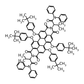 CC(C)C(C(=O)N(c1ccccc1)c1ccccc1)N1C(=O)c2cc(Oc3ccc(C(C)(C)C)cc3)c3c4c(Oc5ccc(C(C)(C)C)cc5)cc5c6c(cc(Oc7ccc(C(C)(C)C)cc7)c(c7c(Oc8ccc(C(C)(C)C)cc8)cc(c2c37)C1=O)c64)C(=O)N(C(C(=O)N(c1ccccc1)c1ccccc1)C(C)C)C5=O